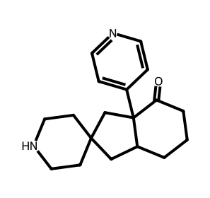 O=C1CCCC2CC3(CCNCC3)CC12c1ccncc1